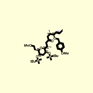 COCC[C@H]1O[C@@H]([C@@H](C)CC(=O)C[C@H](C)[C@@H](/C=C/I)OCc2ccc(OC)cc2)[C@@H](O[Si](C)(C)C(C)(C)C)C[C@H]1O[Si](C)(C)C(C)(C)C